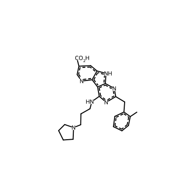 Cc1ccccc1Cc1nc(NCCCN2CCCC2)c2c(n1)[nH]c1cc(C(=O)O)cnc12